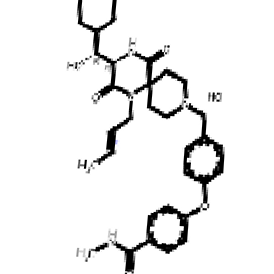 C/C=C/CN1C(=O)[C@@H]([C@H](O)C2CCCCC2)NC(=O)C12CCN(Cc1ccc(Oc3ccc(C(=O)NC)cc3)cc1)CC2.Cl